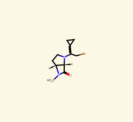 O=C1[C@@H]2[C@@H](CCN2C(CBr)=C2CC2)N1S(=O)(=O)O